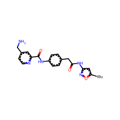 CC(C)(C)c1cc(NC(=O)Cc2ccc(NC(=O)c3cc(CN)ccn3)cc2)no1